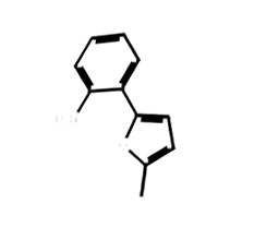 Cc1ccc(-c2ccccc2N)o1